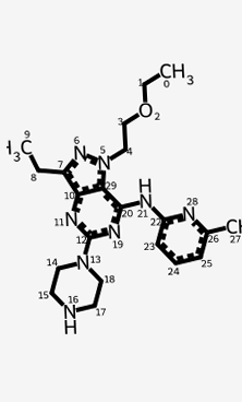 CCOCCn1nc(CC)c2nc(N3CCNCC3)nc(Nc3cccc(C)n3)c21